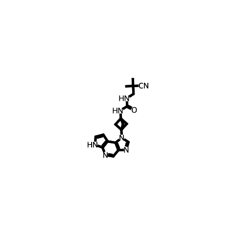 CC(C)(C#N)CNC(=O)NC12CC(n3cnc4cnc5[nH]ccc5c43)(C1)C2